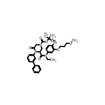 CCN(C(=O)C1CN(C(=O)OC(C)(C)C)CC(=O)N1c1cccc(-c2ccccc2)c1)c1ccc(OC)c(OCCCOC)c1